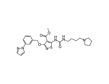 COC(=O)c1c(OCc2cccc(-n3cccn3)c2)nsc1NC(=O)NCCCCN1CCCC1